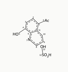 CC(=O)c1ccc(O)c2ncccc12.O=S(=O)(O)O